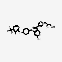 Nc1cc2c(cn1)c(-c1cnn(CC(O)CO)c1)nn2C1CCC(Oc2nccc(C(F)(F)F)c2F)CC1